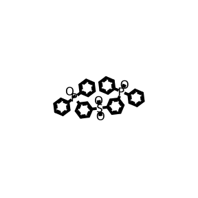 O=P(c1ccccc1)(c1ccccc1)c1cccc(S(=O)(=O)c2cccc(P(=O)(c3ccccc3)c3ccccc3)c2)c1